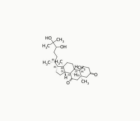 C[C@H](CCC(O)C(C)(C)O)[C@H]1CC[C@H]2[C@@H]3C(=O)C[C@]4(C)CC(=O)CC[C@]4(C)[C@H]3CC[C@]12C